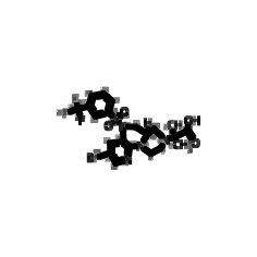 CC(C)(C(=O)O)N1CCN2c3ncc(Br)cc3N(S(=O)(=O)c3cccc(C(F)(F)F)c3)C[C@@H]2C1